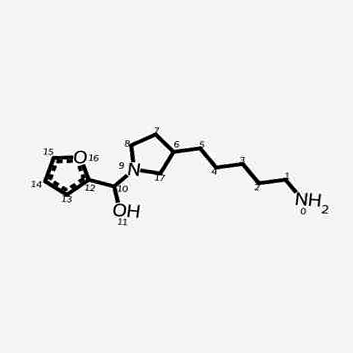 NCCCCCC1CCN(C(O)c2ccco2)C1